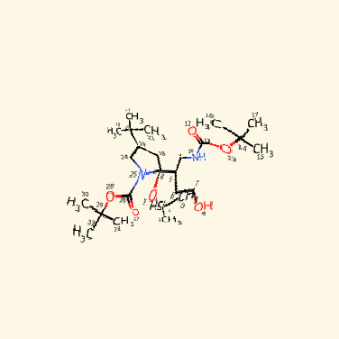 C[SiH](C)O[C@]1(C(CCO)CNC(=O)OC(C)(C)C)C[C@H](C(C)(C)C)CN1C(=O)OC(C)(C)C